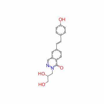 O=c1c2ccc(C=Cc3ccc(O)cc3)cc2cnn1CC(O)CO